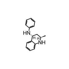 C[C@@H]1C[C@@H](Nc2ccccc2)c2ccccc2N1